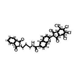 O=C(NCCCN1C(=O)c2ccccc2C1=O)c1ccc2nc(C3C(=O)c4c(Cl)c(Cl)c(Cl)c(Cl)c4C3=O)ccc2c1